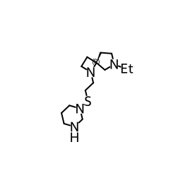 CCN1CC[C@@]2(CCN2CCSN2CCCNC2)C1